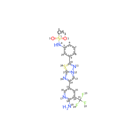 CS(=O)(=O)Nc1cccc(-c2nn3cc(-c4cnc(N)c(C(F)(F)F)c4)nc3s2)c1